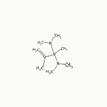 C=C(C)[Si](C)(N(C)C)N(C)C